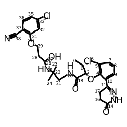 CCC(Oc1c(Cl)cccc1C1=NNC(=O)CC1)C(=O)NCC(C)(C)NC(O)CCOc1cc(Cl)ccc1C#N